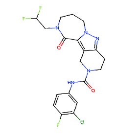 O=C(Nc1ccc(F)c(Cl)c1)N1CCc2nn3c(c2C1)C(=O)N(CC(F)F)CCC3